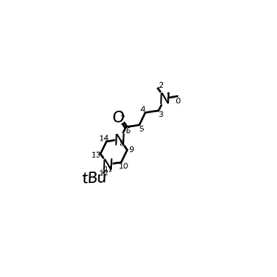 CN(C)CCCC(=O)N1CCN(C(C)(C)C)CC1